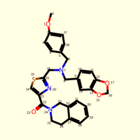 COc1ccc(CN(Cc2ccc3c(c2)OCO3)Cc2nc(C(=O)N3CCc4ccccc4C3)cs2)cc1